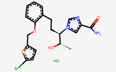 C[C@H](O)[C@@H](CCc1ccccc1OCc1ccc(Br)s1)n1cnc(C(N)=O)c1.Cl